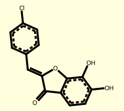 O=C1C(=Cc2ccc(Cl)cc2)Oc2c1ccc(O)c2O